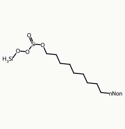 CCCCCCCCCCCCCCCCCCO[Si](=O)OO[SiH3]